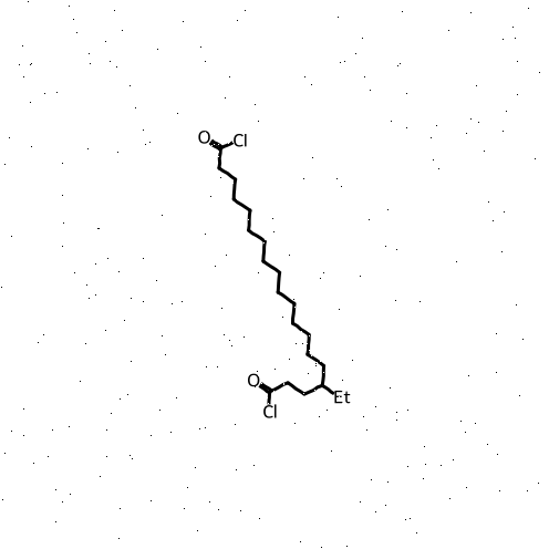 CCC(CCCCCCCCCCCCCCC(=O)Cl)CCC(=O)Cl